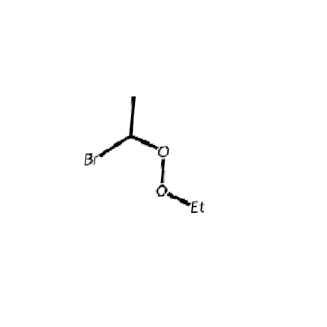 CCOOC(C)Br